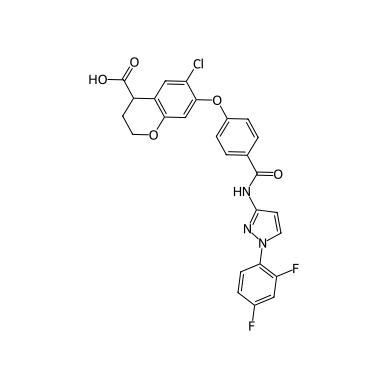 O=C(Nc1ccn(-c2ccc(F)cc2F)n1)c1ccc(Oc2cc3c(cc2Cl)C(C(=O)O)CCO3)cc1